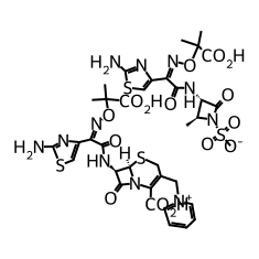 CC(C)(O/N=C(\C(=O)N[C@@H]1C(=O)N2C(C(=O)O)=C(C[n+]3ccccc3)CS[C@H]12)c1csc(N)n1)C(=O)O.C[C@H]1[C@H](NC(=O)/C(=N\OC(C)(C)C(=O)O)c2csc(N)n2)C(=O)N1S(=O)(=O)[O-]